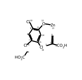 C=C(C)C(=O)O.CC(=O)O.Clc1cc(Cl)c([O][Zn])cc1Cl